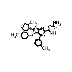 Cc1cccc(-c2nc(C(=N)OC(N)=O)nc3nc(N4CCOC[C@@H]4C)n(C[C@H]4CC[C@H](C)CC4)c23)c1